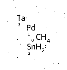 C.[Pd].[SnH2].[Ta]